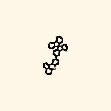 c1ccc2c(c1)-c1ccccc1C21c2ccccc2-c2cc(-c3ccc4c(c3)-c3cccc5cccc(c35)O4)ccc21